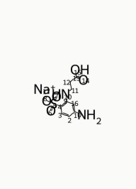 Nc1ccc(S(=O)(=O)[O-])c(NCCC(=O)O)c1.[Na+]